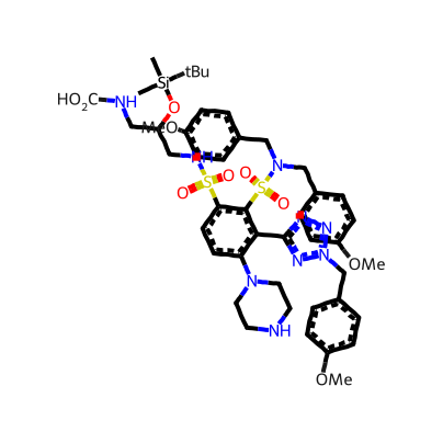 COc1ccc(CN(Cc2ccc(OC)cc2)S(=O)(=O)c2c(S(=O)(=O)NCC(CNC(=O)O)O[Si](C)(C)C(C)(C)C)ccc(N3CCNCC3)c2-c2nnn(Cc3ccc(OC)cc3)n2)cc1